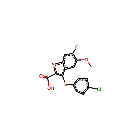 COc1cc2c(Sc3ccc(Cl)cc3)c(C(=O)O)sc2cc1F